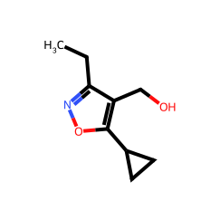 CCc1noc(C2CC2)c1CO